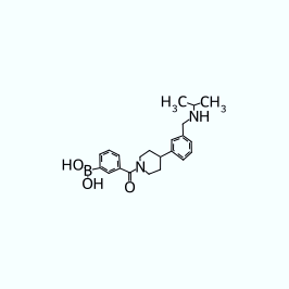 CC(C)NCc1cccc(C2CCN(C(=O)c3cccc(B(O)O)c3)CC2)c1